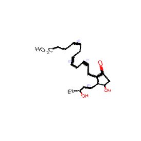 CCC(O)/C=C/C1C(O)CC(=O)C1C/C=C\C/C=C\C/C=C\CCC(=O)O